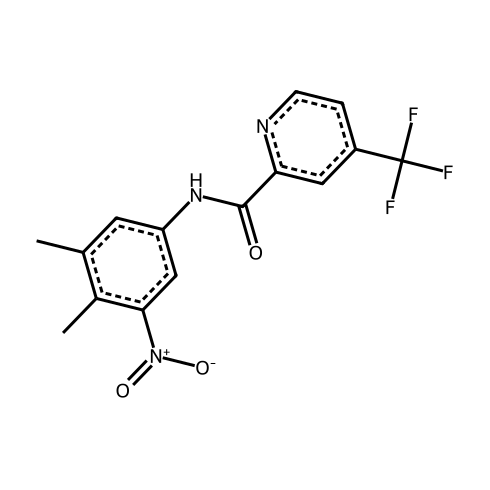 Cc1cc(NC(=O)c2cc(C(F)(F)F)ccn2)cc([N+](=O)[O-])c1C